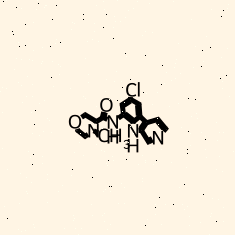 CN1CCOCC1C(=O)Nc1cc(Cl)cc2c1[nH]c1cnccc12